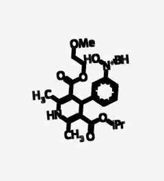 B=[N+](O)c1cccc(C2C(C(=O)OCCOC)=C(C)NC(C)=C2C(=O)OC(C)C)c1